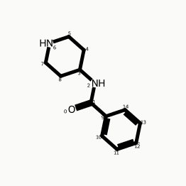 O=C(NC1CCNCC1)c1cc[c]cc1